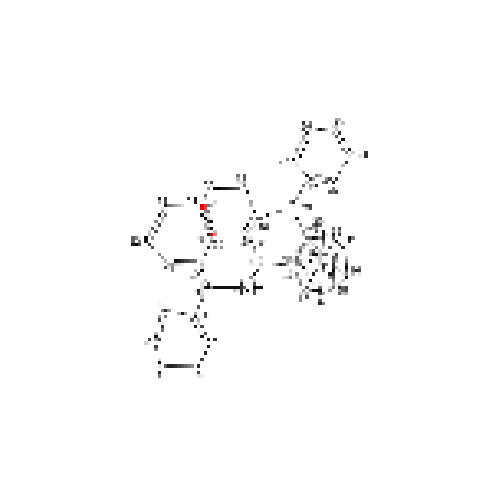 C[C@@H](NP(c1ccccc1)c1ccccc1)[C@@]12[CH]3[CH]4[CH]5[C]1(P(c1ccccc1)c1ccccc1)[Fe]45321678[CH]2[CH]1[CH]6[CH]7[CH]28